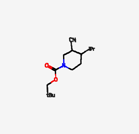 CC(C)C1CCN(C(=O)OCC(C)(C)C)CC1C#N